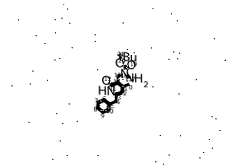 Cc1cc(Cc2ccccc2)[nH]c(=O)c1CN(N)C(=O)OC(C)(C)C